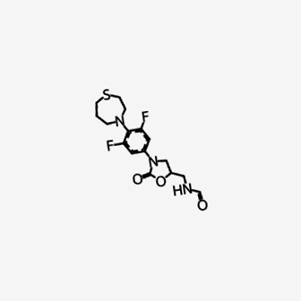 O=CNCC1CN(c2cc(F)c(N3CCCSCC3)c(F)c2)C(=O)O1